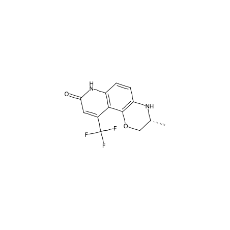 C[C@@H]1COc2c(ccc3[nH]c(=O)cc(C(F)(F)F)c23)N1